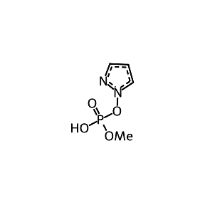 COP(=O)(O)On1cccn1